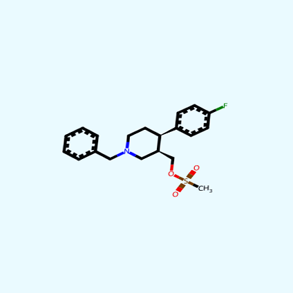 CS(=O)(=O)OC[C@H]1CN(Cc2ccccc2)CC[C@H]1c1ccc(F)cc1